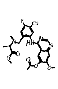 COC(=O)[C@@H](C)N(C)Cc1cc(F)c(Cl)cc1Nc1ncnc2cc(OC)c(OC(C)=O)cc12